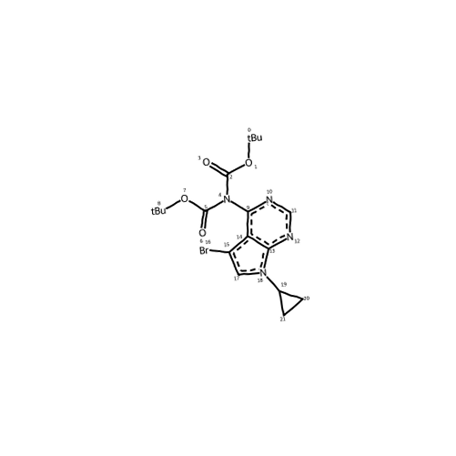 CC(C)(C)OC(=O)N(C(=O)OC(C)(C)C)c1ncnc2c1c(Br)cn2C1CC1